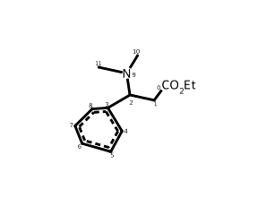 CCOC(=O)CC(c1ccccc1)N(C)C